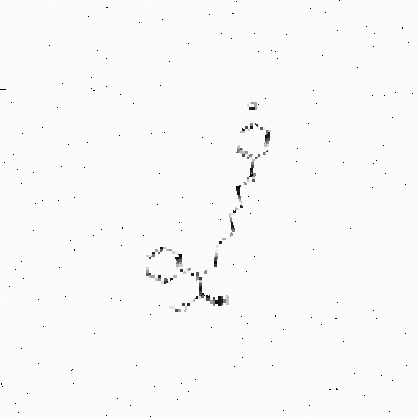 N=C(N)N(CCCCCCOc1ccc(Cl)cc1)[n+]1ccccc1